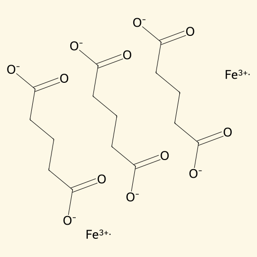 O=C([O-])CCCC(=O)[O-].O=C([O-])CCCC(=O)[O-].O=C([O-])CCCC(=O)[O-].[Fe+3].[Fe+3]